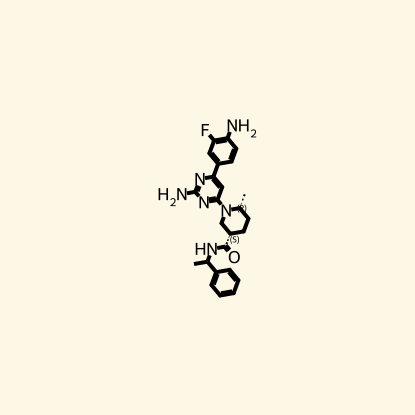 CC(NC(=O)[C@H]1CC[C@@H](C)N(c2cc(-c3ccc(N)c(F)c3)nc(N)n2)C1)c1ccccc1